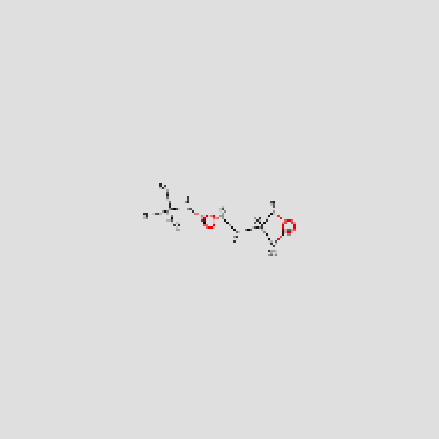 CC(C)(C)COCCC1COC1